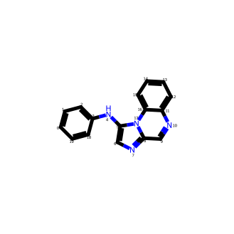 c1ccc(Nc2cnc3cnc4ccccc4n23)cc1